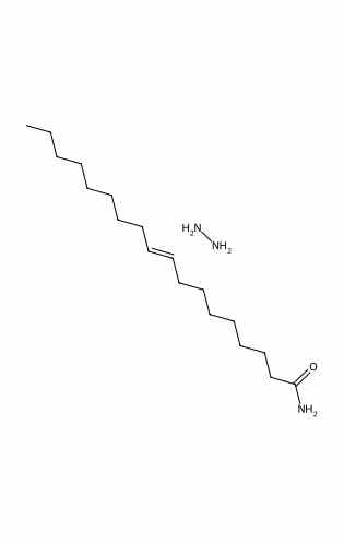 CCCCCCCCC=CCCCCCCCC(N)=O.NN